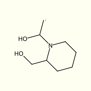 [CH2]C(O)N1CCCCC1CO